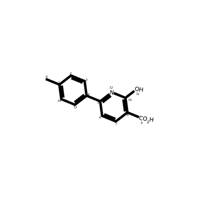 Cc1ccc(-c2ccc(C(=O)O)c(O)n2)cc1